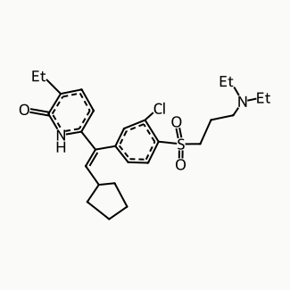 CCc1ccc(C(=CC2CCCC2)c2ccc(S(=O)(=O)CCCN(CC)CC)c(Cl)c2)[nH]c1=O